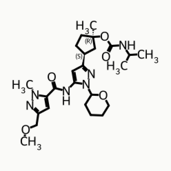 COCc1cc(C(=O)Nc2cc([C@H]3CC[C@@](C)(OC(=O)NC(C)C)C3)nn2C2CCCCO2)n(C)n1